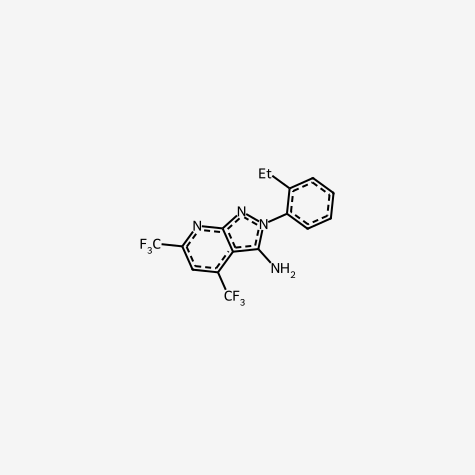 CCc1ccccc1-n1nc2nc(C(F)(F)F)cc(C(F)(F)F)c2c1N